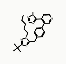 CCCCCn1nc(C(C)(C)C)nc1Cc1ccc(-c2cnccc2-c2nnn[nH]2)cc1